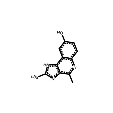 CCCCc1nc2c(C)nc3ccc(O)cc3c2[nH]1